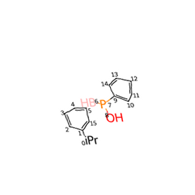 CC(C)c1cccc(BP(O)c2ccccc2)c1